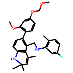 COCOc1ccc(-c2ccc3c(c2CNc2cc(F)ccc2C)C(C)=CC(C)(C)N3)c(OC)c1